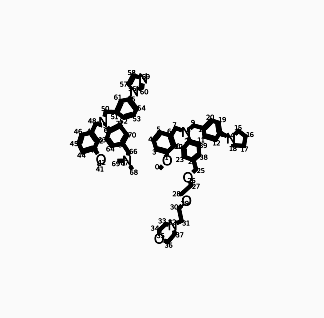 COc1cccc(CN(Cc2ccc(N3CCCC3)cc2)c2ccc(COCCOCCN3CCOCC3)cc2)c1.COc1cccc(CN(Cc2cccc(-n3ccnc3)c2)c2ccc(CN(C)C)cc2)c1